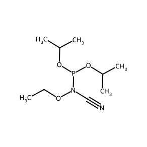 CCON(C#N)P(OC(C)C)OC(C)C